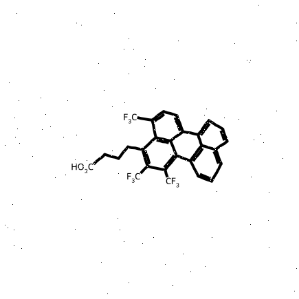 O=C(O)CCCc1c(C(F)(F)F)c(C(F)(F)F)c2c3cccc4cccc(c5ccc(C(F)(F)F)c1c52)c43